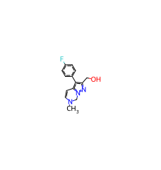 CN1C=Cc2c(-c3ccc(F)cc3)c(CO)nn2C1